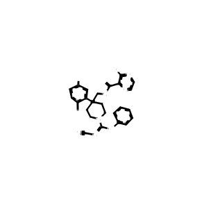 N#C/N=C(/Oc1ccccc1)N1CCC(CNC(=O)c2nccnc2N)(c2cc(F)ccc2F)CC1